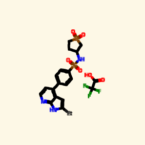 CCc1cc2c(-c3ccc(S(=O)(=O)NC4CCS(=O)(=O)C4)cc3)ccnc2[nH]1.O=C(O)C(F)(F)F